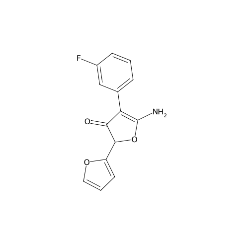 NC1=C(c2cccc(F)c2)C(=O)C(c2ccco2)O1